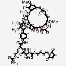 COc1cc2cc(c1Cl)N(C)C(=O)C[C@H](OC(=O)[C@H](C)N(C)C(=O)c1ccc(NC(=O)[C@H](CCCNC(N)=O)NC(=O)[C@@H](NC(=S)NCCCCN3C(=O)C=CC3=O)C(C)C)cc1)[C@]1(C)CC[C@H]1[C@H](C)[C@@H]1C[C@@](O)(NC(=O)O1)[C@H](OC)/C=C/C=C(\C)C2